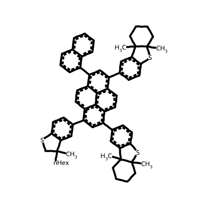 CCCCCCC1(C)CSc2ccc(-c3cc(-c4ccc5c(c4)C4(C)CCCCC4(C)S5)c4ccc5c(-c6ccc7c(c6)C6(C)CCCCC6(C)S7)cc(-c6cccc7ccccc67)c6ccc3c4c56)cc21